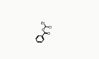 CCC(Cl)OC(=O)c1ccccc1